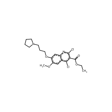 CCOC(=O)c1c(Cl)nc2cc(OCCCN3CCCC3)c(OC)cc2c1Cl